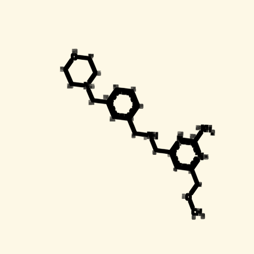 COCc1cc(CNCc2cccc(CN3CCOCC3)c2)nc(N)n1